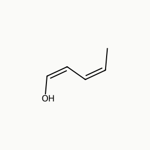 C/C=C\C=C/O